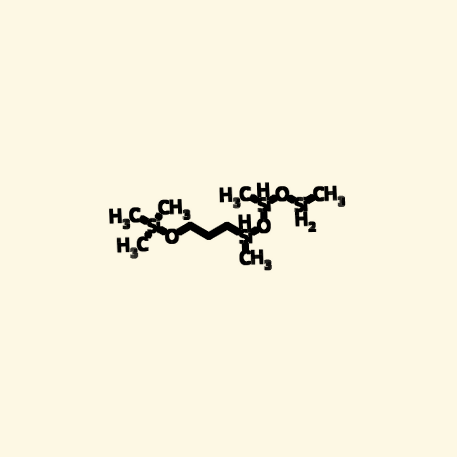 C[SiH2]O[SiH](C)O[SiH](C)CCCO[Si](C)(C)C